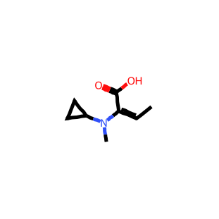 CC=C(C(=O)O)N(C)C1CC1